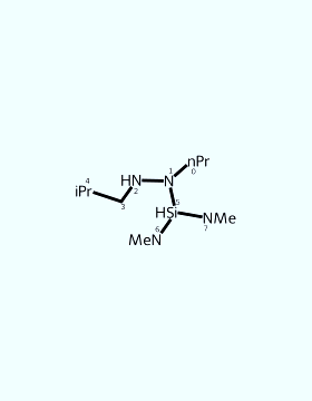 CCCN(NCC(C)C)[SiH](NC)NC